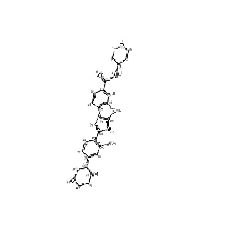 O=C(NC1CCOCC1)c1ccc2c(c1)sc1nc(-c3ccc(C4COCCN4)cc3F)cn12